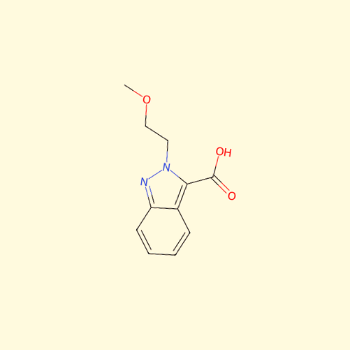 COCCn1nc2ccccc2c1C(=O)O